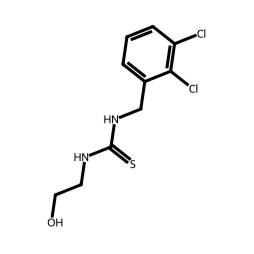 OCCNC(=S)NCc1cccc(Cl)c1Cl